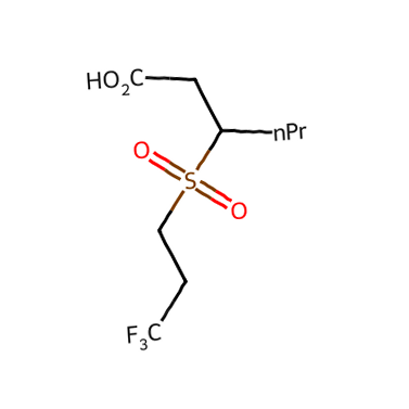 CCCC(CC(=O)O)S(=O)(=O)CCC(F)(F)F